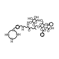 CC(CCC(=O)NCCNCc1ccc(CN2CCCNCCNCCCNCC2)cc1)C(COC1OC(CO)C(O)C(O[C@@H](CC2CCCCC2)C(=O)O)C1OC(=O)c1ccccc1)OC1OC(C)C(O)C(O)C1O